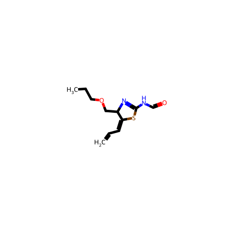 C=C/C=C1/SC(NC=O)=NC1COCCC